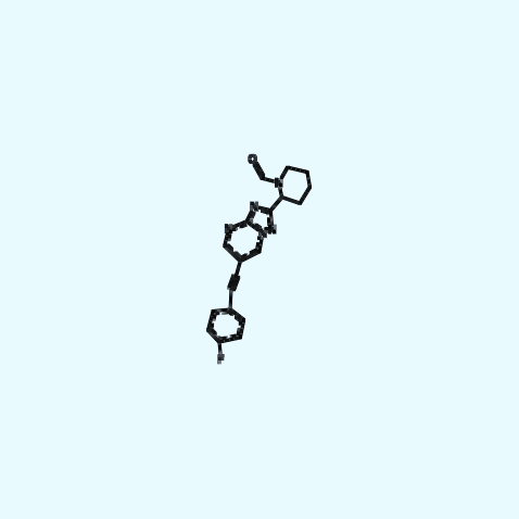 O=CN1CCCCC1c1nc2ncc(C#Cc3ccc(F)cc3)cn2n1